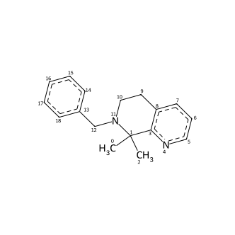 CC1(C)c2ncccc2CCN1Cc1ccccc1